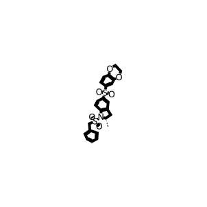 C[C@H]1Cc2cc(S(=O)(=O)c3ccc4c(c3)OCCO4)ccc2N1S(=O)(=O)Cc1ccccc1